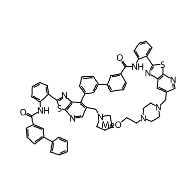 COCCN1CCN(Cc2cnc3sc(-c4ccccc4NC(=O)c4cccc(-c5cccc(-c6c(CN7CCCC7)cnc7sc(-c8ccccc8NC(=O)c8cccc(-c9ccccc9)c8)nc67)c5)c4)nc3c2)CC1